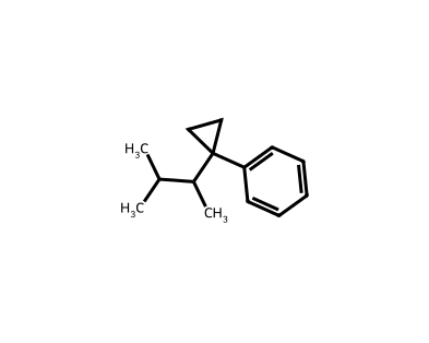 CC(C)C(C)C1(c2ccccc2)CC1